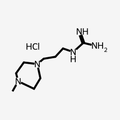 CN1CCN(CCCNC(=N)N)CC1.Cl